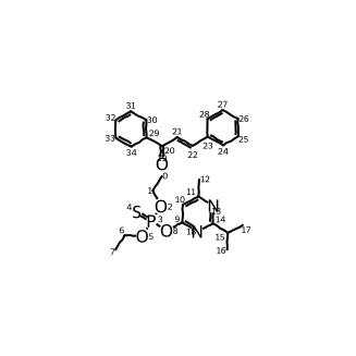 CCOP(=S)(OCC)Oc1cc(C)nc(C(C)C)n1.O=C(C=Cc1ccccc1)c1ccccc1